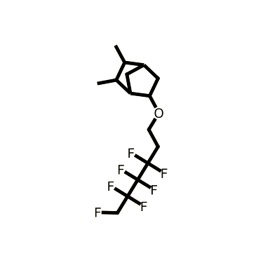 CC1C2CC(OCCC(F)(F)C(F)(F)C(F)(F)CF)C(C2)C1C